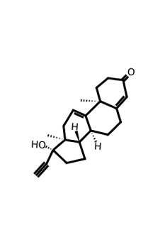 C#C[C@]1(O)CC[C@H]2[C@@H]3CCC4=CC(=O)CC[C@]4(C)C3=CC[C@@]21C